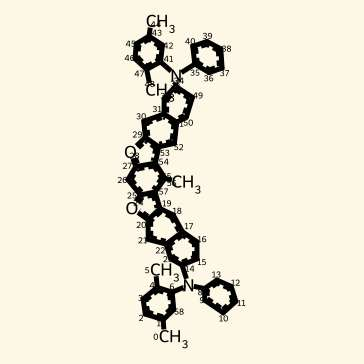 Cc1ccc(C)c(N(c2ccccc2)c2ccc3cc4c(cc3c2)oc2cc3oc5cc6cc(N(c7ccccc7)c7cc(C)ccc7C)ccc6cc5c3c(C)c24)c1